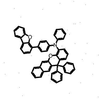 c1ccc(N(c2ccc(-c3cccc4c3oc3ccccc34)cc2)c2cccc3c2Oc2cc4ccccc4cc2C3(c2ccccc2)c2ccccc2)cc1